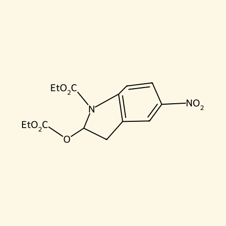 CCOC(=O)OC1Cc2cc([N+](=O)[O-])ccc2N1C(=O)OCC